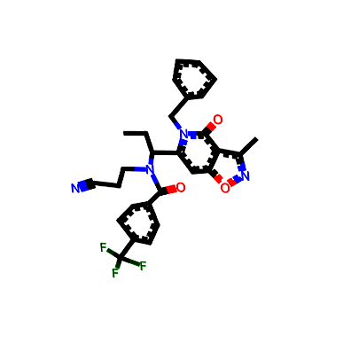 CCC(c1cc2onc(C)c2c(=O)n1Cc1ccccc1)N(CCC#N)C(=O)c1ccc(C(F)(F)F)cc1